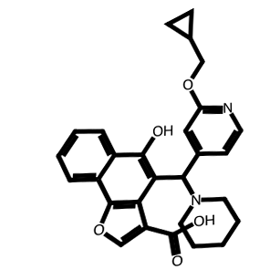 O=C(O)c1coc2c1c(C(c1ccnc(OCC3CC3)c1)N1CCCCC1)c(O)c1ccccc12